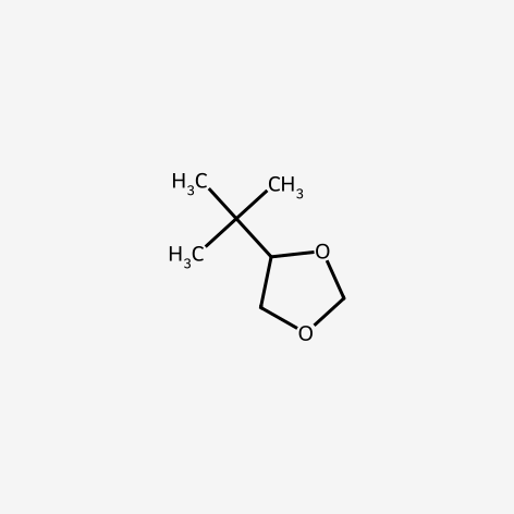 CC(C)(C)C1COCO1